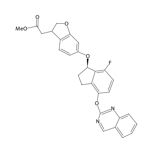 COC(=O)CC1COc2cc(O[C@@H]3CCc4c(Oc5ncc6ccccc6n5)ccc(F)c43)ccc21